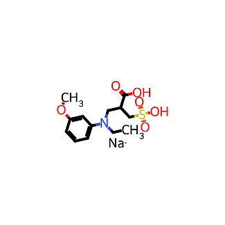 CCN(CC(CS(=O)(=O)O)C(=O)O)c1cccc(OC)c1.[Na]